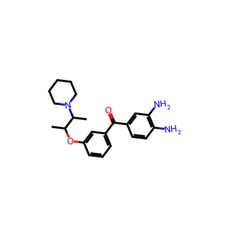 CC(Oc1cccc(C(=O)c2ccc(N)c(N)c2)c1)C(C)N1CCCCC1